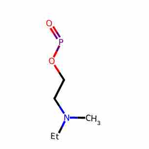 CCN(C)CCOP=O